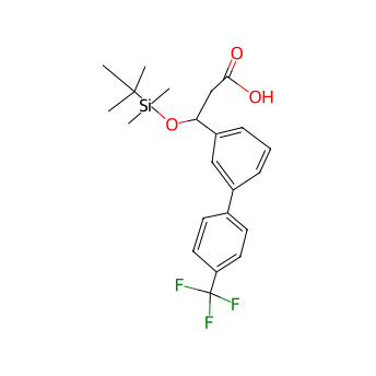 CC(C)(C)[Si](C)(C)OC(CC(=O)O)c1cccc(-c2ccc(C(F)(F)F)cc2)c1